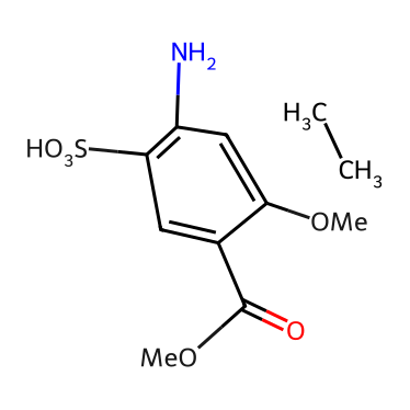 CC.COC(=O)c1cc(S(=O)(=O)O)c(N)cc1OC